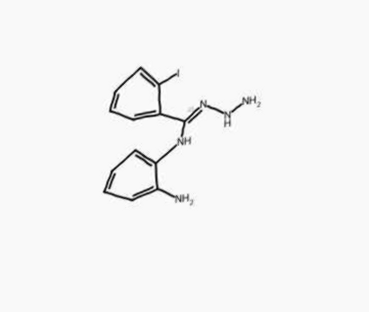 NN/N=C(\Nc1ccccc1N)c1ccccc1I